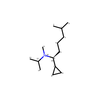 CC(C)CCC[C@@H](C1CC1)N(C)C(C)C